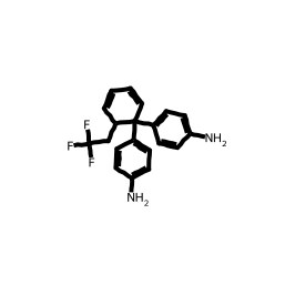 Nc1ccc(C2(c3ccc(N)cc3)C=CC=CC2CC(F)(F)F)cc1